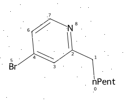 [CH2]CCCCCc1cc(Br)ccn1